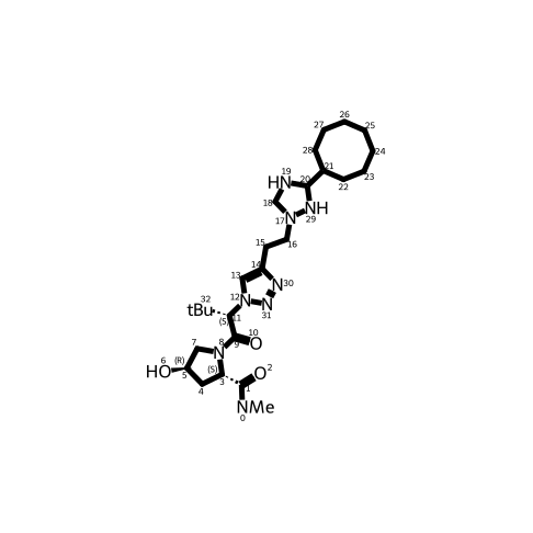 CNC(=O)[C@@H]1C[C@@H](O)CN1C(=O)[C@@H](n1cc(CCN2CNC(C3CCCCCCC3)N2)nn1)C(C)(C)C